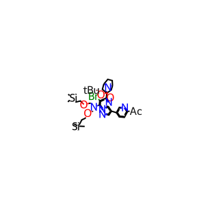 CC(=O)c1ccc(-c2cnn3c(N(COCC[Si](C)(C)C)COCC[Si](C)(C)C)c(Br)c(C4CC5CCC(C4)N5C(=O)OC(C)(C)C)nc23)cn1